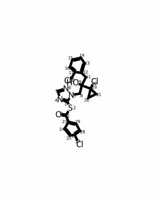 O=C(Sc1ncnn1CC(O)(Cc1ccccc1Cl)C1(Cl)CC1)c1ccc(Cl)cc1